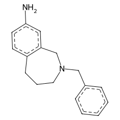 Nc1ccc2c(c1)CN(Cc1ccccc1)CCC2